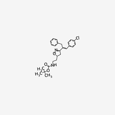 CC(C)(C)OC(=O)NCCC1CC(/C(=C/c2ccc(Cl)cc2)Cc2ccccc2)=NO1